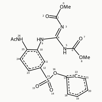 COC(=O)N=C(NC(=O)OC)Nc1cc(S(=O)(=O)Oc2ccccc2)ccc1NC(C)=O